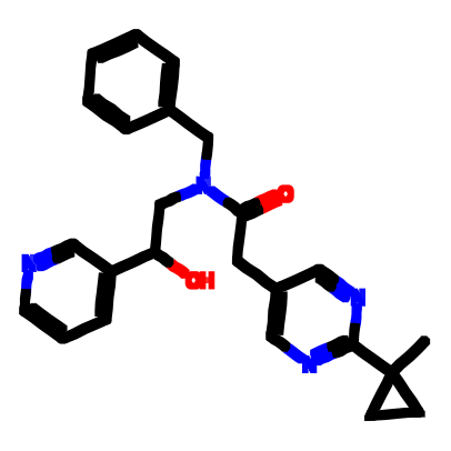 CC1(c2ncc(CC(=O)N(Cc3ccccc3)CC(O)c3cccnc3)cn2)CC1